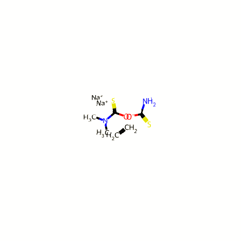 C=C.CN(C)C([O-])=S.NC([O-])=S.[Na+].[Na+]